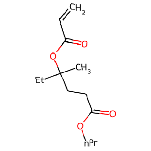 C=CC(=O)OC(C)(CC)CCC(=O)OCCC